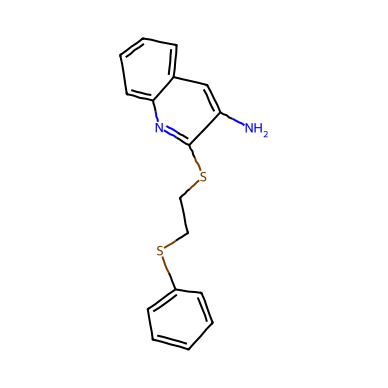 Nc1cc2ccccc2nc1SCCSc1ccccc1